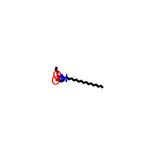 C=CCOc1cn(CCCCCCCCCCCCCCCC)ccc1=O